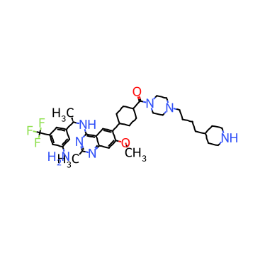 COc1cc2nc(C)nc(N[C@H](C)c3cc(N)cc(C(F)(F)F)c3)c2cc1C1CCC(C(=O)N2CCN(CCCCC3CCNCC3)CC2)CC1